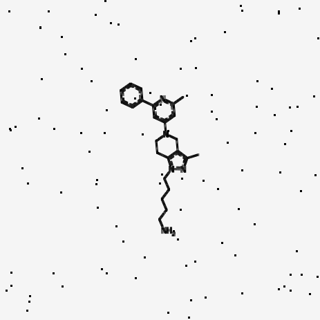 Cc1cc(N2CCc3c(c(C)nn3CCCCCN)C2)cc(-c2ccccc2)n1